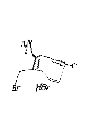 Br.Nc1cc(Cl)ccc1CBr